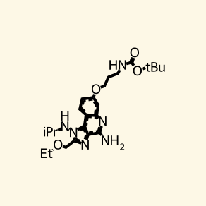 CCOCc1nc2c(N)nc3cc(OCCCNC(=O)OC(C)(C)C)ccc3c2n1NC(C)C